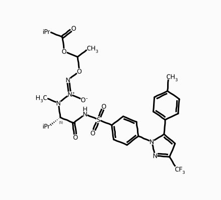 Cc1ccc(-c2cc(C(F)(F)F)nn2-c2ccc(S(=O)(=O)NC(=O)[C@H](C(C)C)N(C)[N+]([O-])=NOC(C)OC(=O)C(C)C)cc2)cc1